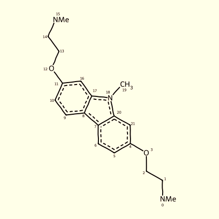 CNCCOc1ccc2c3ccc(OCCNC)cc3n(C)c2c1